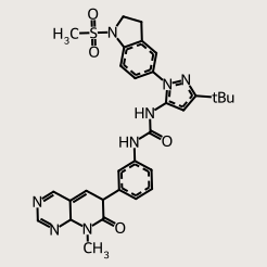 CN1C(=O)C(c2cccc(NC(=O)Nc3cc(C(C)(C)C)nn3-c3ccc4c(c3)CCN4S(C)(=O)=O)c2)C=C2C=NC=NC21